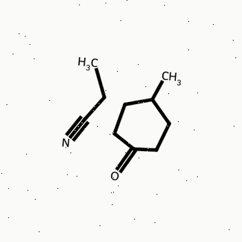 CC1CCC(=O)CC1.CCC#N